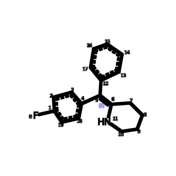 Fc1ccc(/C(=C2/CCCCN2)c2ccccc2)cc1